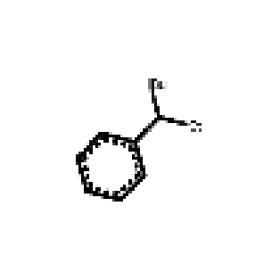 [CH2]CC(c1ccccc1)C(C)CC